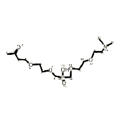 CC(=O)CCOCCOCP(=O)(O)COCCOCCN(C)C